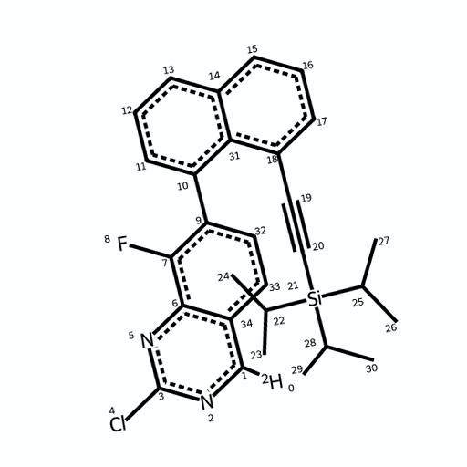 [2H]c1nc(Cl)nc2c(F)c(-c3cccc4cccc(C#C[Si](C(C)C)(C(C)C)C(C)C)c34)ccc12